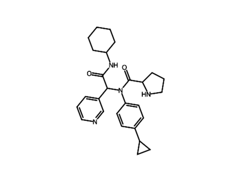 O=C(NC1CCCCC1)C(c1cccnc1)N(C(=O)C1CCCN1)c1ccc(C2CC2)cc1